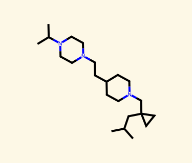 CC(C)CC1(CN2CCC(CCN3CCN(C(C)C)CC3)CC2)CC1